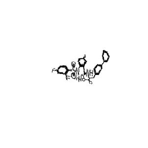 O=C(N[C@@H](Cc1ccc(-c2ccccc2)cc1)C(=O)O)c1cc(I)ccc1NS(=O)(=O)c1ccc(F)cc1F